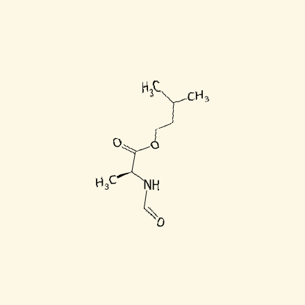 CC(C)CCOC(=O)[C@H](C)NC=O